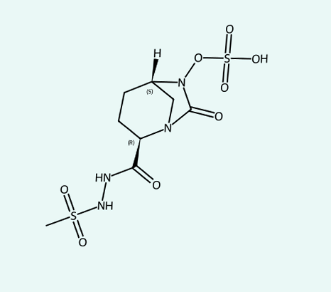 CS(=O)(=O)NNC(=O)[C@H]1CC[C@H]2CN1C(=O)N2OS(=O)(=O)O